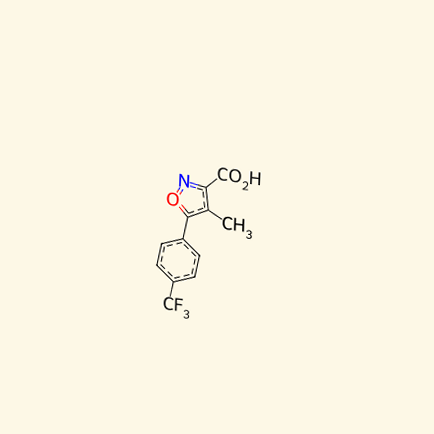 Cc1c(C(=O)O)noc1-c1ccc(C(F)(F)F)cc1